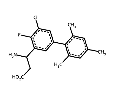 Cc1cc(C)c(-c2cc(Cl)c(F)c(C(N)CC(=O)O)c2)c(C)c1